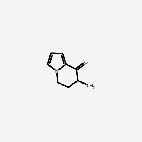 CC1CCn2cccc2C1=O